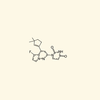 CC1(C)C=C(c2cc(-n3ccc(=O)[nH]c3=O)nn3ccc(F)c23)CC1